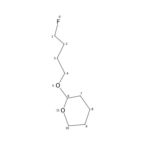 FCCCCOC1CCCCO1